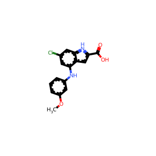 COc1cccc(Nc2cc(Cl)cc3[nH]c(C(=O)O)cc23)c1